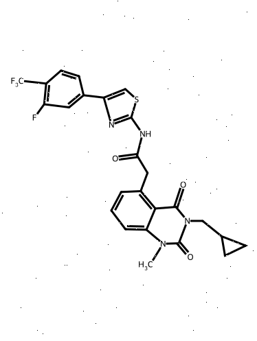 Cn1c(=O)n(CC2CC2)c(=O)c2c(CC(=O)Nc3nc(-c4ccc(C(F)(F)F)c(F)c4)cs3)cccc21